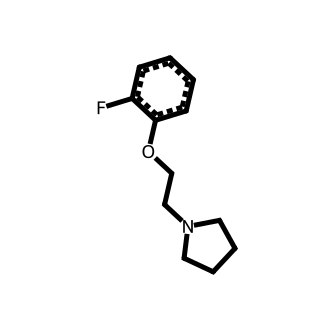 Fc1ccccc1OCCN1CCCC1